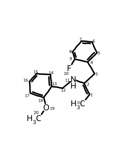 C/C=C(/Cc1ccccc1F)NCc1ccccc1OC